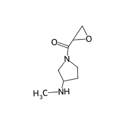 CNC1CCN(C(=O)C2CO2)C1